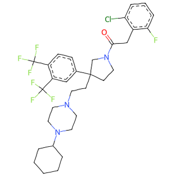 O=C(Cc1c(F)cccc1Cl)N1CCC(CCN2CCN(C3CCCCC3)CC2)(c2ccc(C(F)(F)F)c(C(F)(F)F)c2)C1